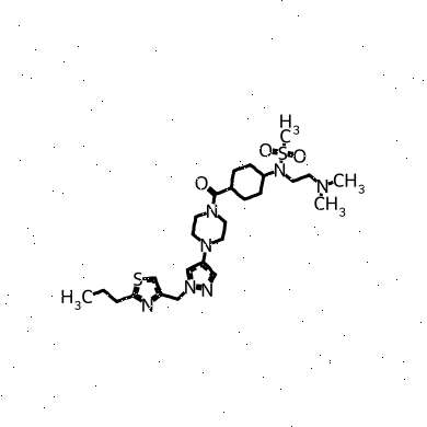 CCCc1nc(Cn2cc(N3CCN(C(=O)C4CCC(N(CCN(C)C)S(C)(=O)=O)CC4)CC3)cn2)cs1